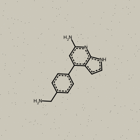 NCc1ccc(-c2cc(N)nc3[nH]ccc23)cc1